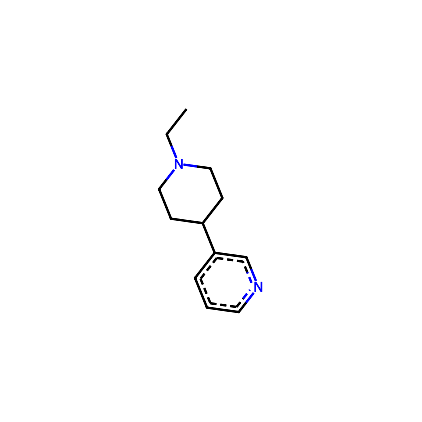 CCN1CCC(c2cccnc2)CC1